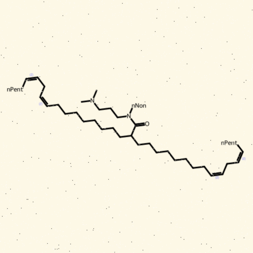 CCCCC/C=C\C/C=C\CCCCCCCCC(CCCCCCCC/C=C\C/C=C\CCCCC)C(=O)N(CCCCCCCCC)CCCN(C)C